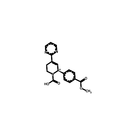 COC(=O)c1ccc([C@@H]2C=C(c3ncccn3)CCN2C(=O)O)cc1